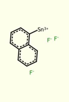 [F-].[F-].[F-].[Sn+3][c]1cccc2ccccc12